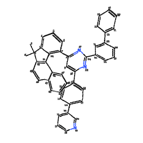 CC1(C)c2cccc(-c3cc(-c4ccc(-c5cccnc5)cc4)nc(-c4cccc(-c5ccccc5)c4)n3)c2-c2c1ccc1ccccc21